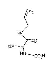 C=CCNC(=O)N(NC(=O)O)C(C)(C)C